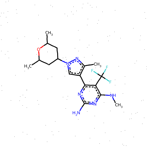 CNc1nc(N)nc(-c2cn(C3CC(C)OC(C)C3)nc2C)c1C(F)(F)F